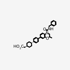 CC1CN(C(=O)NCc2ccccc2)c2ccc(-c3ccc([C@H]4CC[C@H](CC(=O)O)CC4)cc3)cc2O1